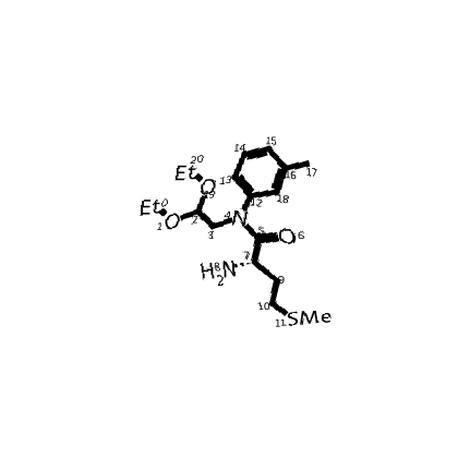 CCOC(CN(C(=O)[C@@H](N)CCSC)c1cccc(C)c1)OCC